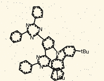 CC(C)(C)c1ccc2c(c1)c1cc(C(C)(C)C)ccc1n2-c1ccc(-c2nc(-c3ccccc3)nc(-c3ccccc3)n2)cc1-c1cc(-c2ccccc2)nc(-c2ccccc2)n1